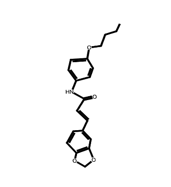 CCCCOc1ccc(NC(=O)/C=C/c2ccc3c(c2)OCO3)cc1